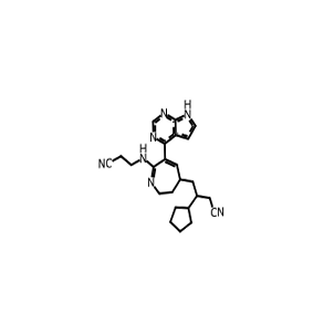 N#CCCNC1=NCCC(CC(CC#N)C2CCCC2)C=C1c1ncnc2[nH]ccc12